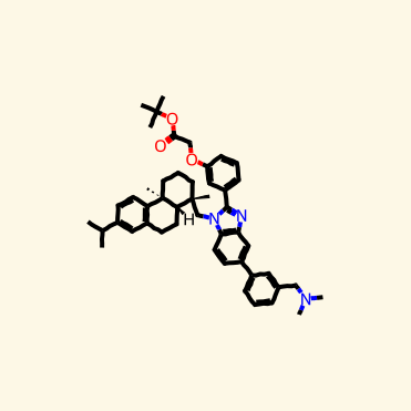 CC(C)c1ccc2c(c1)CC[C@H]1[C@@](C)(Cn3c(-c4cccc(OCC(=O)OC(C)(C)C)c4)nc4cc(-c5cccc(CN(C)C)c5)ccc43)CCC[C@]21C